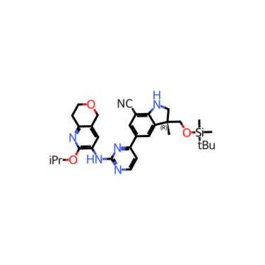 CC(C)Oc1nc2c(cc1Nc1nccc(-c3cc(C#N)c4c(c3)[C@@](C)(CO[Si](C)(C)C(C)(C)C)CN4)n1)COCC2